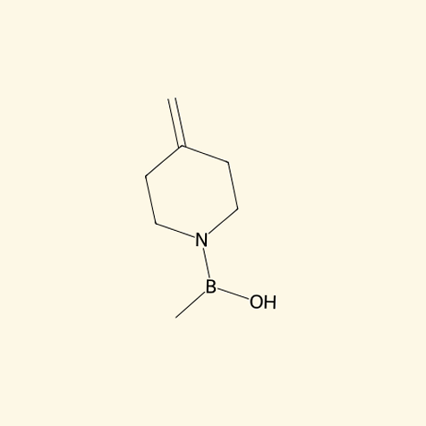 C=C1CCN(B(C)O)CC1